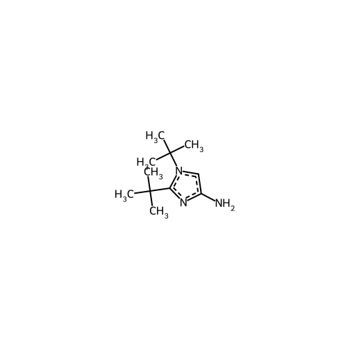 CC(C)(C)c1nc(N)cn1C(C)(C)C